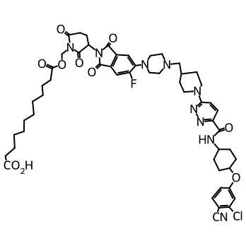 N#Cc1ccc(OC2CCC(NC(=O)c3ccc(N4CCC(CN5CCN(c6cc7c(cc6F)C(=O)N(C6CCC(=O)N(COC(=O)CCCCCCCCCCC(=O)O)C6=O)C7=O)CC5)CC4)nn3)CC2)cc1Cl